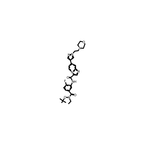 CCN(OC(C)(C)C)C(=O)c1ccc(F)c(NC(=O)c2cnc3cc(-c4cnn(CCN5CCOCC5)c4)ccn23)c1